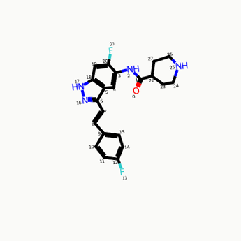 O=C(Nc1cc2c(/C=C/c3ccc(F)cc3)n[nH]c2cc1F)C1CCNCC1